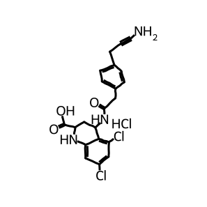 Cl.NC#CCc1ccc(CC(=O)NC2CC(C(=O)O)Nc3cc(Cl)cc(Cl)c32)cc1